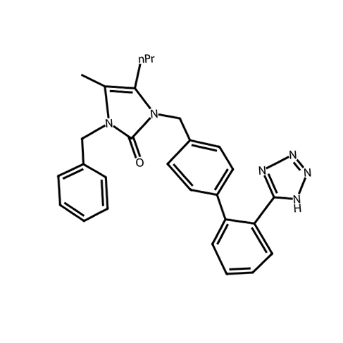 CCCc1c(C)n(Cc2ccccc2)c(=O)n1Cc1ccc(-c2ccccc2-c2nnn[nH]2)cc1